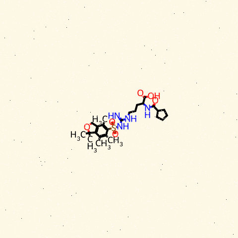 Cc1c(C)c(S(=O)(=O)NC(=N)NCCCC(NC(=O)C2CCCC2)C(=O)O)c(C)c2c1C(C)(C)OC2